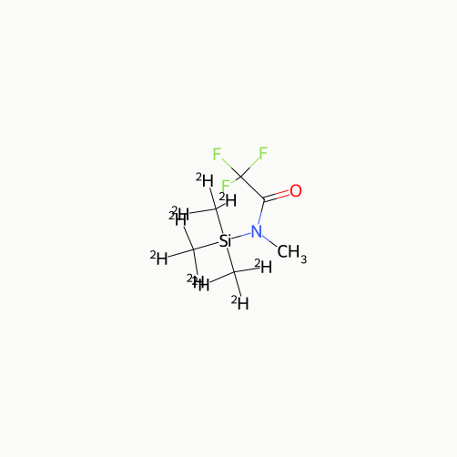 [2H]C([2H])([2H])[Si](N(C)C(=O)C(F)(F)F)(C([2H])([2H])[2H])C([2H])([2H])[2H]